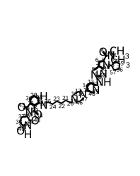 CN(C)C(=O)c1cc2cnc(Nc3ccc(N4CCN(CCCCCCNc5cccc6c5C(=O)N(C5CCC(=O)NC5=O)C6=O)CC4)cn3)nc2n1C1CCCC1